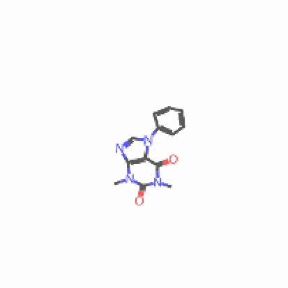 Cn1c(=O)c2c(ncn2-c2ccccc2)n(C)c1=O